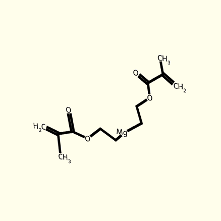 C=C(C)C(=O)OC[CH2][Mg][CH2]COC(=O)C(=C)C